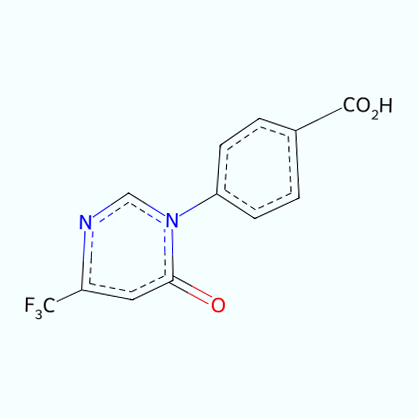 O=C(O)c1ccc(-n2cnc(C(F)(F)F)cc2=O)cc1